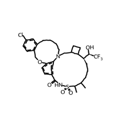 CC1CCC[C@H]([C@@H](O)C(F)(F)F)C2CCC2CN2CCCCc3cc(Cl)ccc3COc3ccc(cc32)C(=O)NS(=O)(=O)C1C